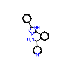 NC(c1ccncc1)c1ccccc1-c1nnc(-c2ccccc2)[nH]1